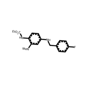 CCOC(=O)Nc1ccc(NCc2ccc(F)cc2)cc1NC